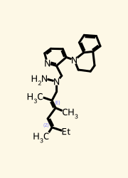 CC/C(C)=C\C(C)=C(/C)CN(N)Cc1ncccc1N1CCCc2ccccc21